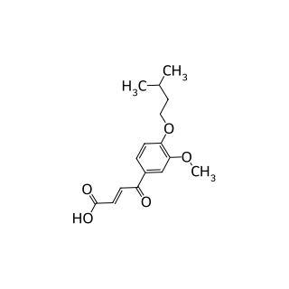 COc1cc(C(=O)C=CC(=O)O)ccc1OCCC(C)C